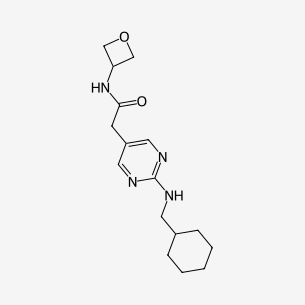 O=C(Cc1cnc(NCC2CCCCC2)nc1)NC1COC1